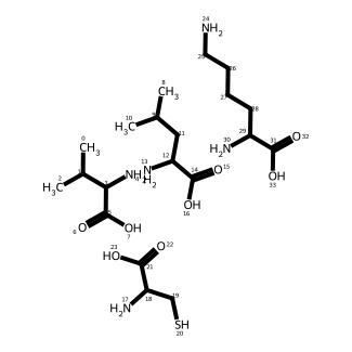 CC(C)C(N)C(=O)O.CC(C)CC(N)C(=O)O.NC(CS)C(=O)O.NCCCCC(N)C(=O)O